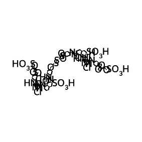 O=S(=O)(O)OCCS(=O)(=O)c1ccc(Nc2nc(Cl)nc(Nc3cccc4cc(S(=O)(=O)O)c(N=Nc5ccc(OCCSSCCS(=O)(=O)c6ccc(N=Nc7ccc8c(c7O)C(Nc7nc(Cl)nc(Nc9ccc(S(=O)(=O)CCOS(=O)(=O)O)cc9)n7)CC(S(=O)(=O)O)=C8)cc6)cc5)c(O)c34)n2)cc1